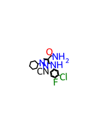 N#CC1CCCCC1n1cc(C(N)=O)c(Nc2ccc(F)c(Cl)c2)n1